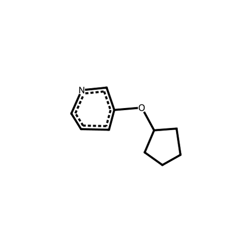 c1cncc(OC2CCCC2)c1